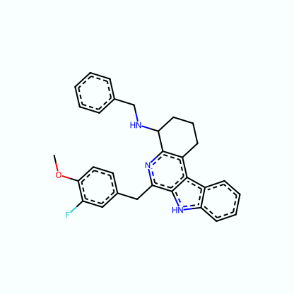 COc1ccc(Cc2nc3c(c4c2[nH]c2ccccc24)CCCC3NCc2ccccc2)cc1F